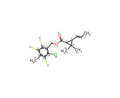 CC=CC1C(C(=O)OCc2c(F)c(F)c(C)c(F)c2Cl)C1(C)C